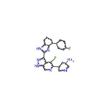 Nc1cncc(-c2ncc3[nH]nc(-c4nc5c(-c6ccc(F)cc6)cccc5[nH]4)c3c2F)c1